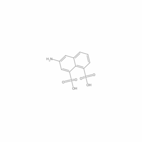 Nc1cc(S(=O)(=O)O)c2c(S(=O)(=O)O)cccc2c1